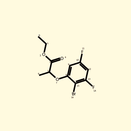 CCOC(=O)C(C)Oc1cc(F)cc(F)c1Br